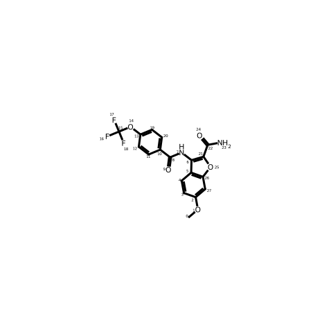 COc1ccc2c(NC(=O)c3ccc(OC(F)(F)F)cc3)c(C(N)=O)oc2c1